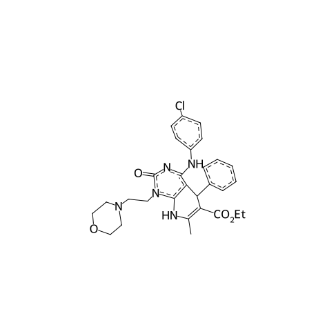 CCOC(=O)C1=C(C)Nc2c(c(Nc3ccc(Cl)cc3)nc(=O)n2CCN2CCOCC2)C1c1ccccc1